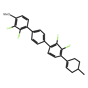 COc1ccc(-c2ccc(-c3ccc(C4=CCC(C)CC4)c(F)c3F)cc2)c(F)c1F